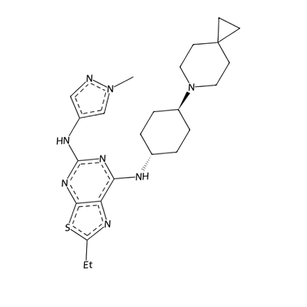 CCc1nc2c(N[C@H]3CC[C@H](N4CCC5(CC4)CC5)CC3)nc(Nc3cnn(C)c3)nc2s1